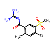 CCc1cc(C)c(C(=O)N=C(N)N)cc1S(C)(=O)=O